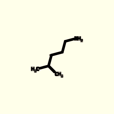 CC(C)[CH]CCN